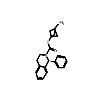 NC12CC(OC(=O)N3CCc4ccccc4[C@@H]3c3ccccc3)(C1)C2